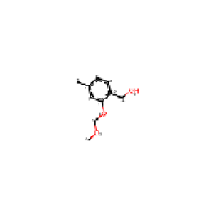 COCOc1cc(C)ccc1CO